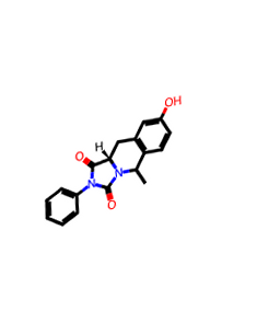 CC1c2ccc(O)cc2C[C@H]2C(=O)N(c3ccccc3)C(=O)N12